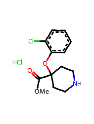 COC(=O)C1(Oc2ccccc2Cl)CCNCC1.Cl